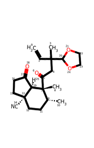 C=CC(C)(CC(=O)[C@]1(C)[C@H](C)CC[C@@]2(C#N)CCC(=O)[C@H]21)C1OCCO1